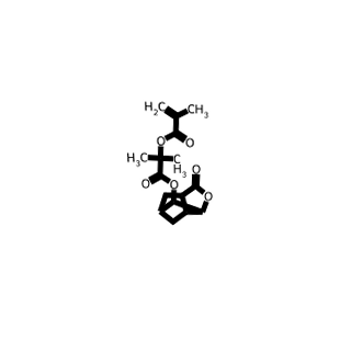 C=C(C)C(=O)OC(C)(C)C(=O)OC1C2CC3C(=O)OC1C3C2